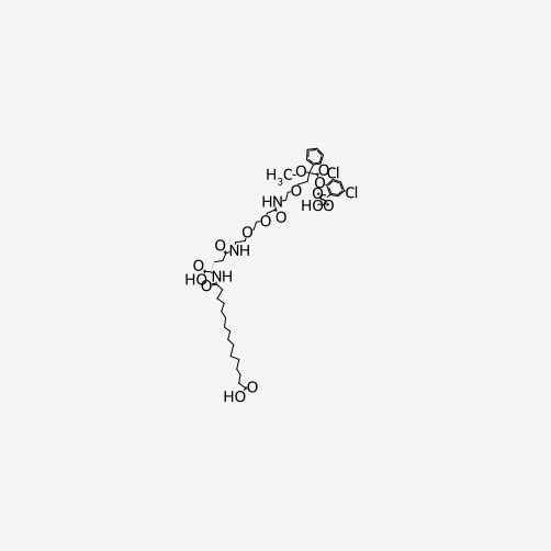 CCOC(CCOCCNC(=O)COCCOCCNC(=O)CC[C@H](NC(=O)CCCCCCCCCCCCCCC(=O)O)C(=O)O)(C(=O)Oc1c(Cl)cc(Cl)cc1S(=O)(=O)O)c1ccccc1